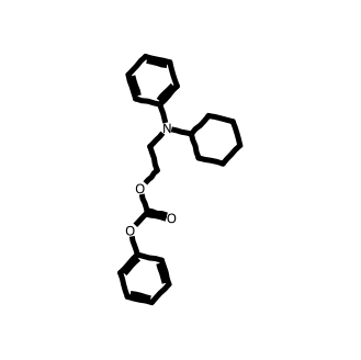 O=C(OCCN(c1ccccc1)C1CCCCC1)Oc1ccccc1